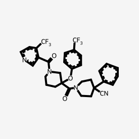 N#CC1(c2ccccc2)CCN(C(=O)C2(Oc3ccc(C(F)(F)F)cc3)CCCN(C(=O)c3cnccc3C(F)(F)F)C2)CC1